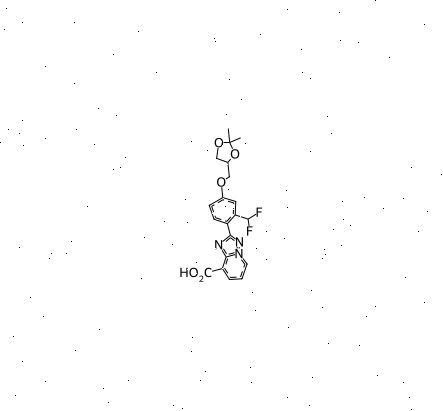 CC1(C)OCC(COc2ccc(-c3nc4c(C(=O)O)cccn4n3)c(C(F)F)c2)O1